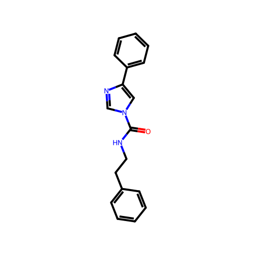 O=C(NCCc1ccccc1)n1cnc(-c2ccccc2)c1